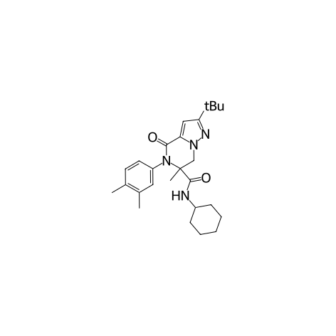 Cc1ccc(N2C(=O)c3cc(C(C)(C)C)nn3CC2(C)C(=O)NC2CCCCC2)cc1C